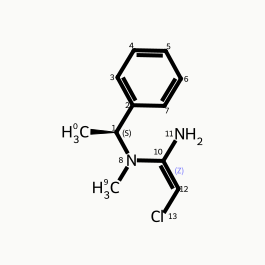 C[C@@H](c1ccccc1)N(C)/C(N)=C\Cl